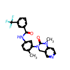 Cc1ccc(NC(=O)c2cccc(C(F)(F)F)c2)cc1N1Cc2cnccc2N(C)C1=O